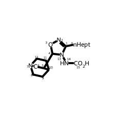 CCCCCCCC1=NOC(C2CN3CCC2CC3)N1NC(=O)O